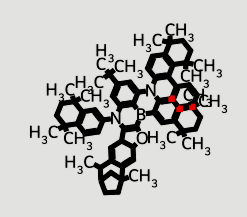 CC1C2=CC3C4=C(OC3C=C2C2(C)CCC1C2)B1c2cc3c(cc2N(c2ccc5c(c2-c2ccccc2)C(C)(C)CCC5(C)C)c2cc(C(C)(C)C)cc(c21)N4c1ccc2c(c1)C(C)(C)CCC2(C)C)C(C)(C)CCC3(C)C